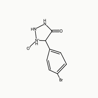 O=C1NN[NH+]([O-])C1c1ccc(Br)cc1